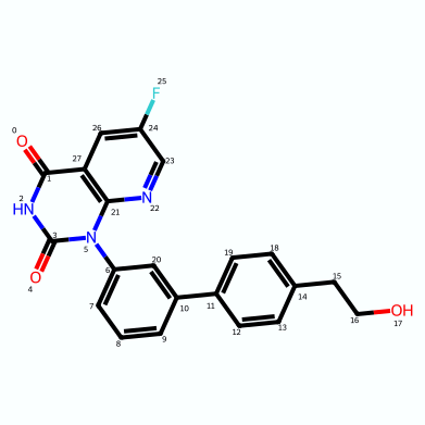 O=c1[nH]c(=O)n(-c2cccc(-c3ccc(CCO)cc3)c2)c2ncc(F)cc12